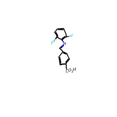 O=C(O)c1ccc(C=Nc2c(F)cccc2F)cc1